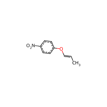 CC=COc1ccc([N+](=O)[O-])cc1